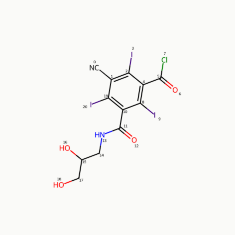 N#Cc1c(I)c(C(=O)Cl)c(I)c(C(=O)NCC(O)CO)c1I